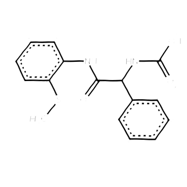 CSc1ccccc1NC(=O)C(NC(=O)O)c1ccccc1